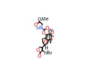 CCCCC1=C([C@H]2C[C@]34C[C@H]3[C@@H]3O[C@]3(C(C)C)[C@@H](OC(=O)NCC(=O)OC)[C@]43CC2O3)COC1=O